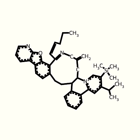 C=C1C/N=C(/C=C\CCC)c2c(ccc3c2oc2ncccc23)CCC2c3ccccc3-c3cc(C(C)C)c([Si](C)(C)C)c[n+]3C2C1